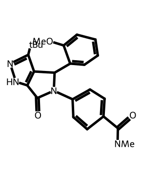 CNC(=O)c1ccc(N2C(=O)c3[nH]nc(C(C)(C)C)c3C2c2ccccc2OC)cc1